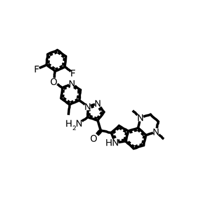 Cc1cc(Oc2c(F)cccc2F)ncc1-n1ncc(C(=O)c2cc3c4c(ccc3[nH]2)N(C)CCN4C)c1N